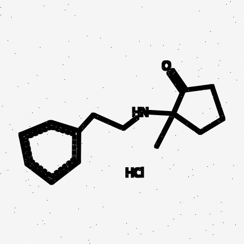 CC1(NCCc2ccccc2)CCCC1=O.Cl